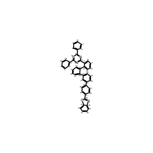 c1ccc(-c2nc(-c3ccccc3)nc(-c3ccccc3-c3ccccc3-c3cccc(-c4ccc(-c5nc6ccccc6o5)cc4)c3)n2)cc1